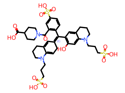 O=C(O)C1CCN(C(=O)c2cc(S(=O)(=O)O)ccc2/C(=C2\C=C3CCCN(CCCS(=O)(=O)O)C3=CC2)c2cc3c(cc2O)N(CCCS(=O)(=O)O)CCC3)CC1